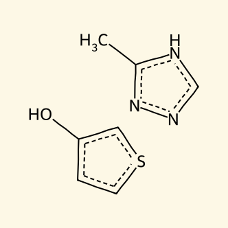 Cc1nnc[nH]1.Oc1ccsc1